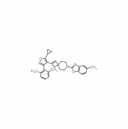 Cc1ccc2oc(N3CCC4(C=C(c5c(-c6c(C)cccc6C)noc5C5CC5)C4)CC3)nc2c1